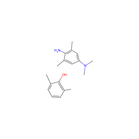 Cc1cc(N(C)C)cc(C)c1N.Cc1cccc(C)c1O